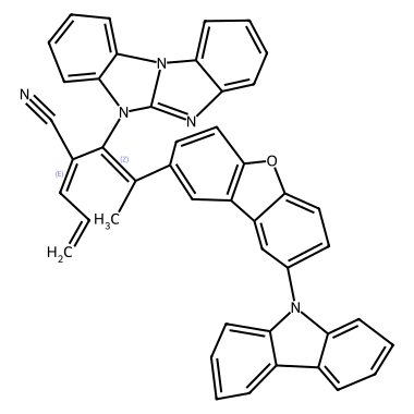 C=C/C=C(C#N)\C(=C(/C)c1ccc2oc3ccc(-n4c5ccccc5c5ccccc54)cc3c2c1)n1c2ccccc2n2c3ccccc3nc12